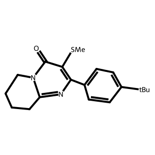 CSc1c(-c2ccc(C(C)(C)C)cc2)nc2n(c1=O)CCCC2